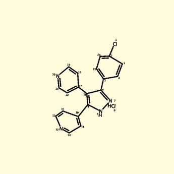 Cl.Clc1ccc(-c2n[nH]c(-c3ccncc3)c2-c2ccncc2)cc1